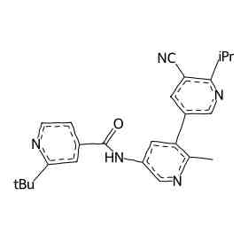 Cc1ncc(NC(=O)c2ccnc(C(C)(C)C)c2)cc1-c1cnc(C(C)C)c(C#N)c1